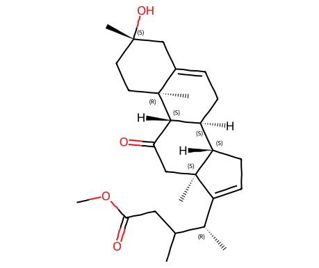 COC(=O)CC(C)[C@@H](C)C1=CC[C@H]2[C@@H]3CC=C4C[C@@](C)(O)CC[C@]4(C)[C@H]3C(=O)C[C@]12C